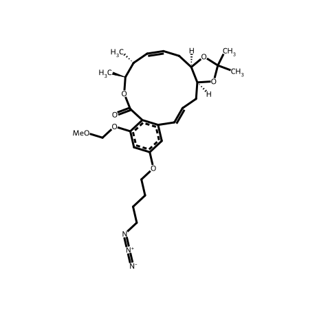 COCOc1cc(OCCCCN=[N+]=[N-])cc2c1C(=O)O[C@@H](C)[C@H](C)/C=C\C[C@H]1OC(C)(C)O[C@H]1C/C=C/2